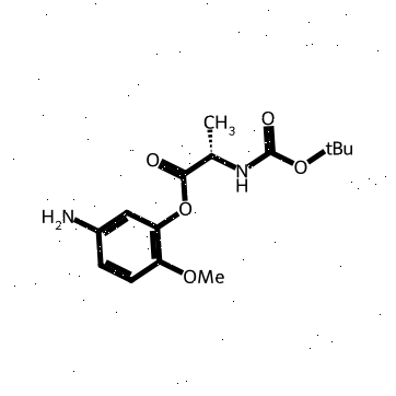 COc1ccc(N)cc1OC(=O)[C@H](C)NC(=O)OC(C)(C)C